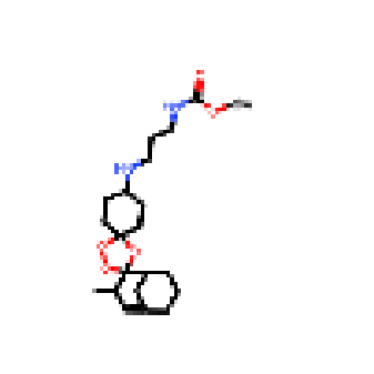 CC1C=C2CCCC(C2)C12OOC1(CCC(NCCCNC(=O)OC(C)(C)C)CC1)O2